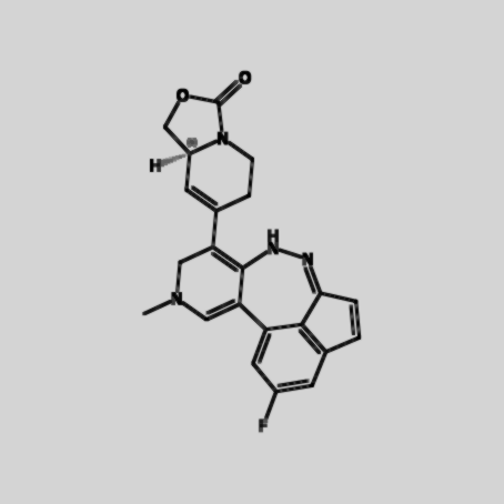 CN1C=C2C(=C(C3=C[C@H]4COC(=O)N4CC3)C1)NN=C1C=Cc3cc(F)cc2c31